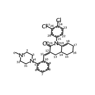 CN1CCN(c2ccccc2C=C2CC3CCCC=C3N(c3ccc(Cl)c(Cl)c3)C2=O)CC1